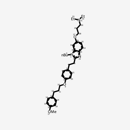 CCCCn1c(CCc2ccc(OCCCc3ccc(OC)cc3)cc2)nc2ccc(OCCCN(CC)CC)cc21